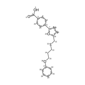 O=C(O)c1ccc(-c2nnc(CSCCCOc3ccccc3)o2)cc1